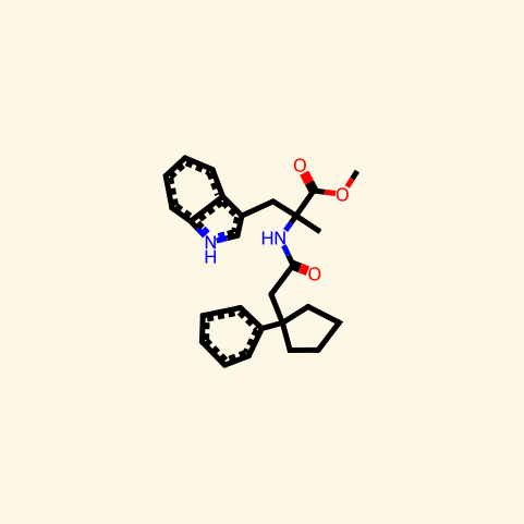 COC(=O)C(C)(Cc1c[nH]c2ccccc12)NC(=O)CC1(c2ccccc2)CCCC1